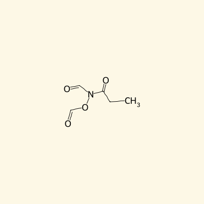 CCC(=O)N(C=O)OC=O